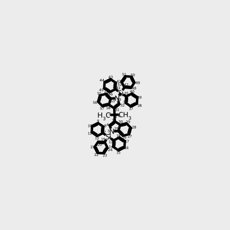 CC(C)(c1cn([Si](c2ccccc2)(c2ccccc2)c2ccccc2)c2ccccc12)c1cn([Si](c2ccccc2)(c2ccccc2)c2ccccc2)c2ccccc12